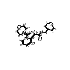 O=C(NCC1CCOCC1)c1nc(N2CCOCC2)n2ccccc12